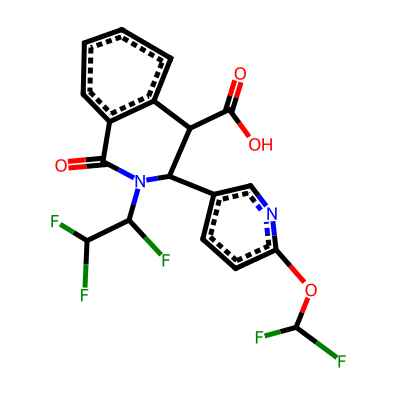 O=C(O)C1c2ccccc2C(=O)N(C(F)C(F)F)C1c1ccc(OC(F)F)nc1